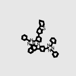 c1ccc(-c2nc(-c3ccccc3)nc(-c3ccc4c5ccccc5n(-c5ccc(-c6ccc7c(c6)sc6ccccc67)cc5-c5nc(-c6ccccc6)nc(-c6ccccc6)n5)c4c3)n2)cc1